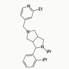 CCc1cc(CN2CC3CN(C(C)C)C(c4ccccc4C(C)C)C3C2)ccn1